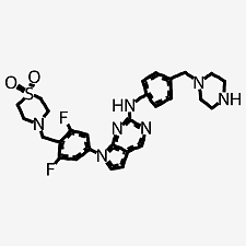 O=S1(=O)CCN(Cc2c(F)cc(-n3ccc4cnc(Nc5ccc(CN6CCNCC6)cc5)nc43)cc2F)CC1